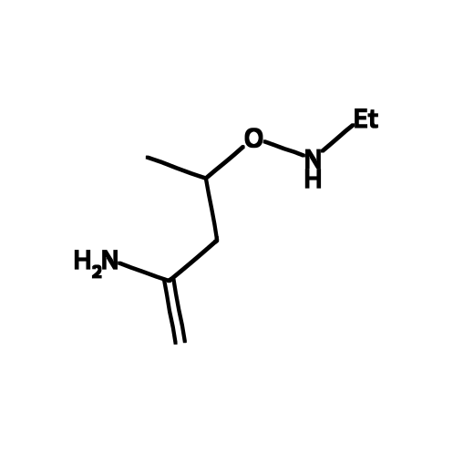 C=C(N)CC(C)ONCC